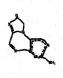 Nc1ncc2c(n1)N=CC1=NNCN12